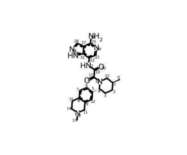 C[C@H]1CC[C@H](c2ccc3c(c2)CN(C)CC3)N(C(=O)C(=O)Nc2cnc(N)c3cn[nH]c23)C1